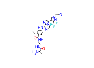 CCc1cc(Nc2nccn3c(-c4cn(CC#N)nc4C(F)(F)F)cnc23)ccc1C(=O)NCCNC(=O)C(C)N